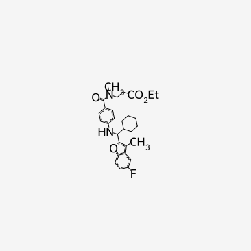 CCOC(=O)CCN(C)C(=O)c1ccc(NC(c2oc3ccc(F)cc3c2C)C2CCCCC2)cc1